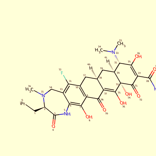 CC(C)C[C@@H]1C(=O)Nc2c(O)c3c(c(F)c2CN1C)C[C@H]1C[C@H]2[C@H](N(C)C)C(O)=C(C(N)=O)C(=O)[C@@]2(O)C(O)=C1C3=O